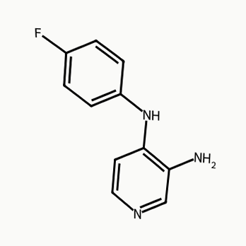 Nc1cnccc1Nc1ccc(F)cc1